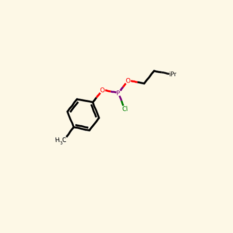 Cc1ccc(OP(Cl)OCCC(C)C)cc1